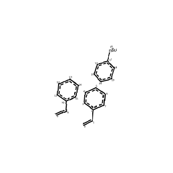 C=Cc1ccccc1.C=Cc1ccccc1.CCCCc1ccccc1